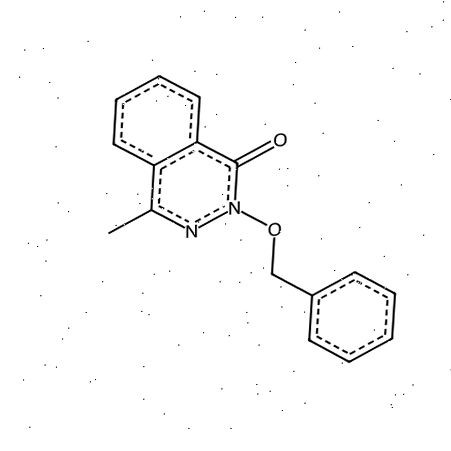 Cc1nn(OCc2ccccc2)c(=O)c2ccccc12